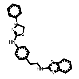 c1ccc([C@H]2CSC(Nc3ccc(CCNc4nc5ccccc5s4)cc3)=N2)cc1